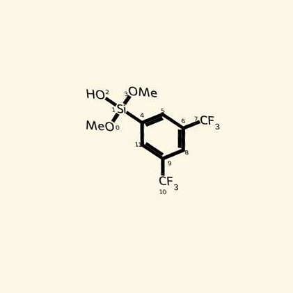 CO[Si](O)(OC)c1cc(C(F)(F)F)cc(C(F)(F)F)c1